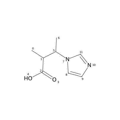 CC(C(=O)O)C(C)n1ccnc1